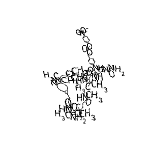 CNC(=O)CCC(C)(C)OCC(C)(N)NC(=O)OCC1C2CCc3nnn(C(C)(C)CCOC(C)(C)CCC(=O)NC(C(=O)N[C@@H](CCCNC(N)=O)C(=O)Nc4ccc(COC(=O)Oc5ccc([N+](=O)[O-])cc5)cc4)C(C)C)c3CCC21